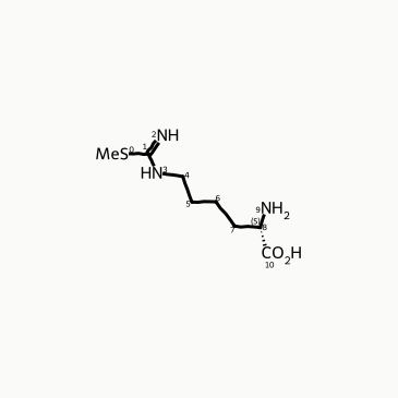 CSC(=N)NCCCC[C@H](N)C(=O)O